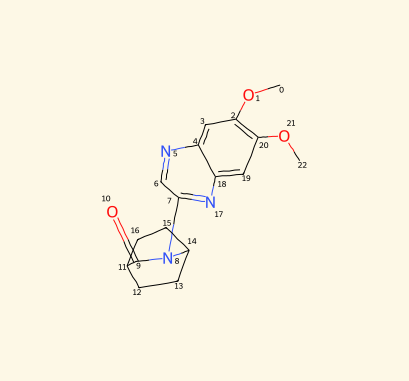 COc1cc2ncc(N3C(=O)C4CCC3CC4)nc2cc1OC